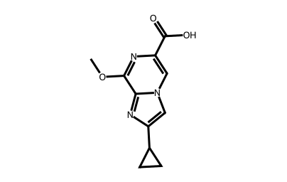 COc1nc(C(=O)O)cn2cc(C3CC3)nc12